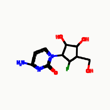 Nc1ccn(C2C(O)C(O)C(CO)C2F)c(=O)n1